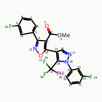 COC(=O)c1c(-c2cccc(F)c2)noc1-c1cnn(-c2cccc(F)c2)c1C(F)(F)P